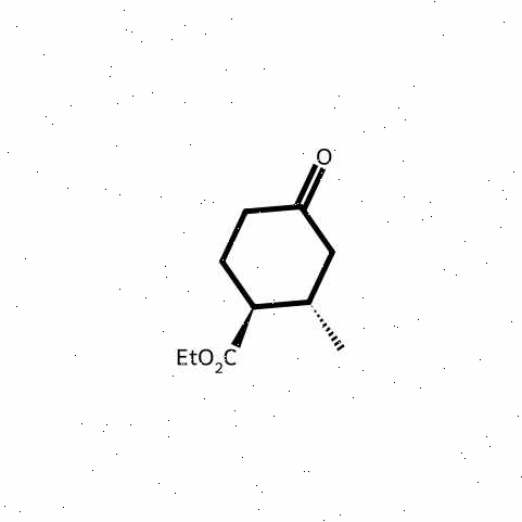 CCOC(=O)[C@H]1CCC(=O)C[C@@H]1C